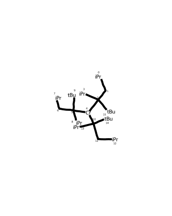 CC(C)C[C](C(C)C)([Cr]([C](CC(C)C)(C(C)C)C(C)(C)C)[C](CC(C)C)(C(C)C)C(C)(C)C)C(C)(C)C